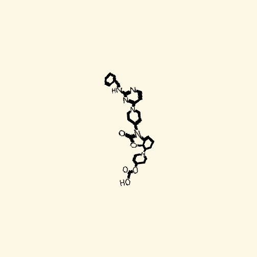 O=C(O)OC1CCN(C2CCCC3C2OC(=O)N3C2CCN(c3ccnc(NCc4ccccc4)n3)CC2)CC1